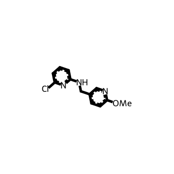 COc1ccc(CNc2cccc(Cl)n2)cn1